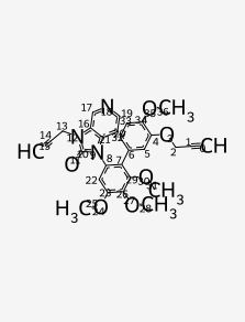 C#CCOc1cc(-c2c(-n3c(=O)n(CC#C)c4cnccc43)cc(OC)c(OC)c2OC)ccc1OC